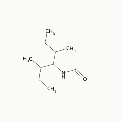 CCC(C)C(N[C]=O)C(C)CC